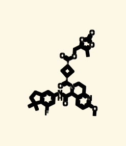 COc1ccc2c(n1)CCN(C(=O)[C@H]1C[C@@H](C(=O)OCc3oc(=O)oc3C)C1)C2C(=O)Nc1cc(F)c2c(c1)CCC2(C)C